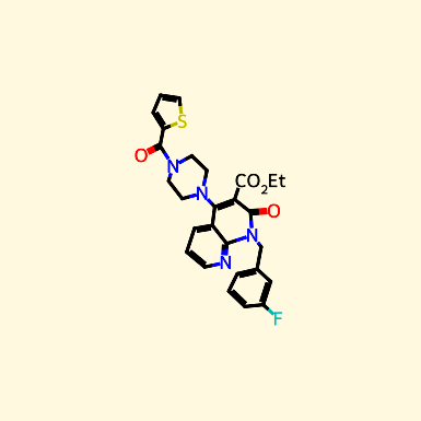 CCOC(=O)c1c(N2CCN(C(=O)c3cccs3)CC2)c2cccnc2n(Cc2cccc(F)c2)c1=O